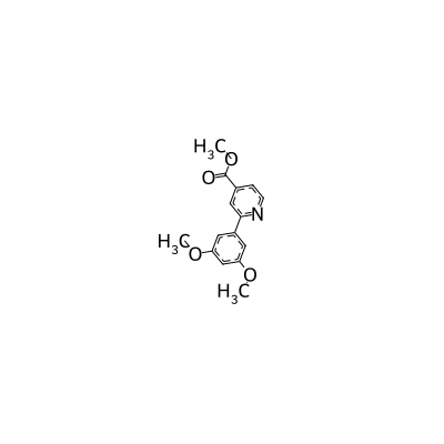 COC(=O)c1ccnc(-c2cc(OC)cc(OC)c2)c1